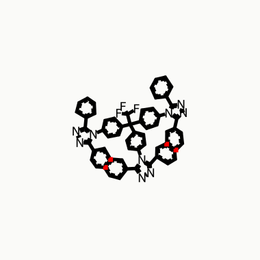 FC(F)(F)C(c1ccc(-n2c(-c3ccccc3)nnc2-c2ccccc2)cc1)(c1ccc(-n2c(-c3ccccc3)nnc2-c2ccccc2)cc1)c1ccc(-n2c(-c3ccccc3)nnc2-c2ccccc2)cc1